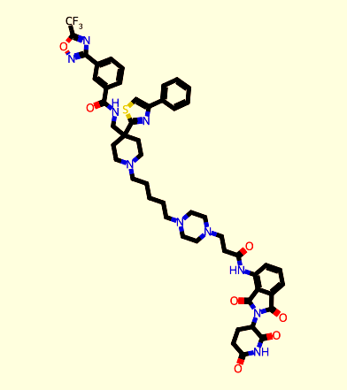 O=C1CCC(N2C(=O)c3cccc(NC(=O)CCN4CCN(CCCCCN5CCC(CNC(=O)c6cccc(-c7noc(C(F)(F)F)n7)c6)(c6nc(-c7ccccc7)cs6)CC5)CC4)c3C2=O)C(=O)N1